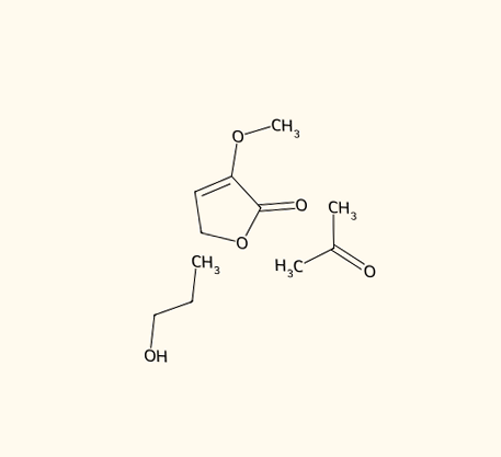 CC(C)=O.CCCO.COC1=CCOC1=O